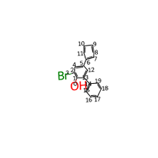 Oc1c(Br)cc(-c2ccccc2)cc1-c1ccccc1